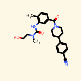 Cc1ccc(C(=O)N2CCC(c3ccc(C#N)cc3)CC2)cc1NC(=O)N(C)CCO